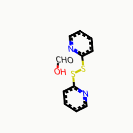 O=CO.c1ccc(SSc2ccccn2)nc1